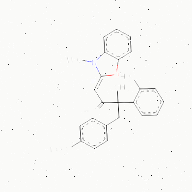 C=C(/C=C1\Oc2ccccc2N1C)C(C)(Cc1ccc(C(=O)O)cc1)c1ccccc1C